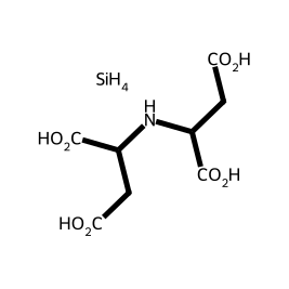 O=C(O)CC(NC(CC(=O)O)C(=O)O)C(=O)O.[SiH4]